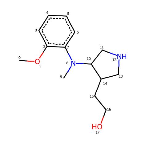 COc1ccccc1N(C)C1CNCC1CCO